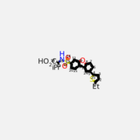 CCc1ccc(-c2ccc3oc4cc(S(=O)(=O)N[C@H](C(=O)O)C(C)C)ccc4c3c2)s1